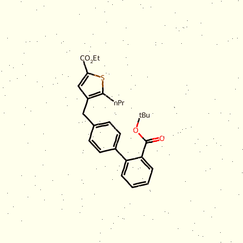 CCCc1sc(C(=O)OCC)cc1Cc1ccc(-c2ccccc2C(=O)OC(C)(C)C)cc1